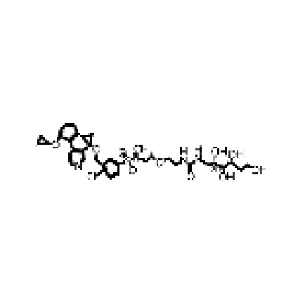 CN(CCOCCNC(=O)NC[C@@H](O)[C@H](O)[C@@H](O)CCO)S(=O)(=O)c1ccc(Cl)c(COC2(c3cnccc3-c3ccccc3OC3CC3)CC2)c1